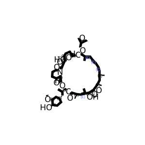 CO[C@@H]1C[C@H](CC(C)[C@@H]2CC(=O)[C@H](C)/C=C(\C)[C@@H](O)[C@@H](OC)C(=O)[C@H](C)C[C@H](C)/C=C/C=C/C=C(\C)C(OCC3COC3)C[C@@H]3CC[C@@H](C)[C@@](O)(O3)C(=O)C(=O)N3CCCC[C@H]3C(=O)O2)CC[C@H]1O